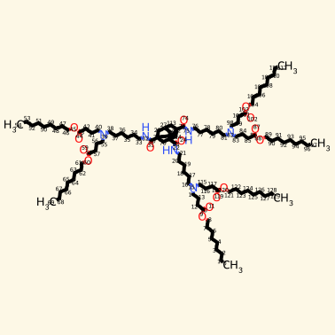 CCCCCCCCCOC(=O)CCCN(CCCCCCNC(=O)C12CC3CC(C(=O)NCCCCCCN(CCCC(=O)OCCCCCCCCC)CCCC(=O)OCCCCCCCCC)(C1)CC(C(=O)NCCCCCCN(CCCC(=O)OCCCCCCCCC)CCCC(=O)OCCCCCCCCC)(C3)C2)CCCC(=O)OCCCCCCCCC